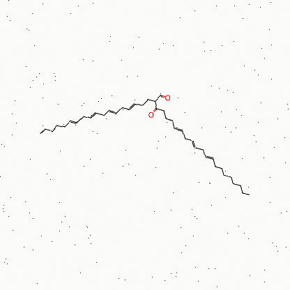 CCCCCC=CCC=CCC=CCC=CCCC([C]=O)C(=O)CCCC=CCC=CCC=CCCCCCCCC